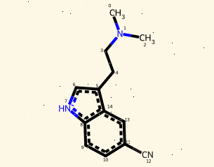 CN(C)CCc1c[nH]c2ccc(C#N)cc12